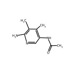 CC(=O)Nc1cnc(N)c(C)c1C